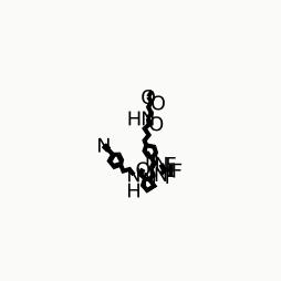 COC(=O)CCNC(=O)CCCC1CCN(c2cc(N3CCCC3C(=O)NCCc3ccc(C#N)cc3)nc(C(F)(F)F)n2)CC1